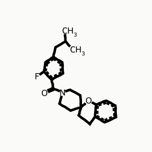 CC(C)Cc1ccc(C(=O)N2CCC3(CCc4ccccc4O3)CC2)c(F)c1